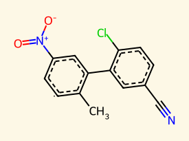 Cc1[c]cc([N+](=O)[O-])cc1-c1cc(C#N)ccc1Cl